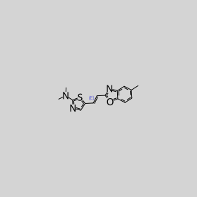 Cc1ccc2oc(/C=C/c3cnc(N(C)C)s3)nc2c1